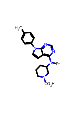 CCN(c1ncnc2c1ccn2-c1ccc(C)cc1)C1CCCN(C(=O)O)C1